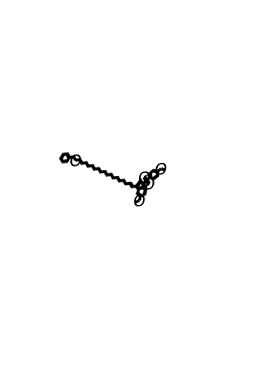 COc1ccc(S(=O)(=O)n2cc(C=CCCCCCCCCCCCCCCCCOCc3ccccc3)c3cc(OC)ccc32)cc1